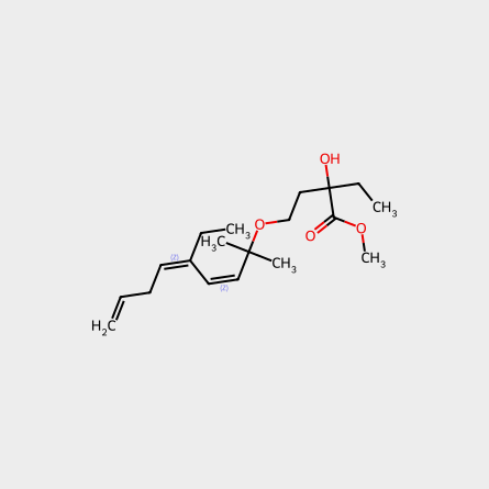 C=CC/C=C(\C=C/C(C)(C)OCCC(O)(CC)C(=O)OC)CC